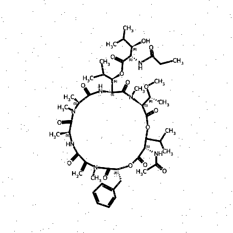 C=C1C(=O)N[C@@H](C)C(=O)N(C)[C@@H](C)C(=O)N[C@@H]([C@H](OC(=O)[C@@H](NC(=O)CC)[C@H](O)C(C)C)C(C)C)C(=O)N(C)[C@@H]([C@@H](C)OC)C(=O)OC(C(C)C)[C@H](NC(C)=O)C(=O)O[C@H](Cc2ccccc2)C(=O)N1C